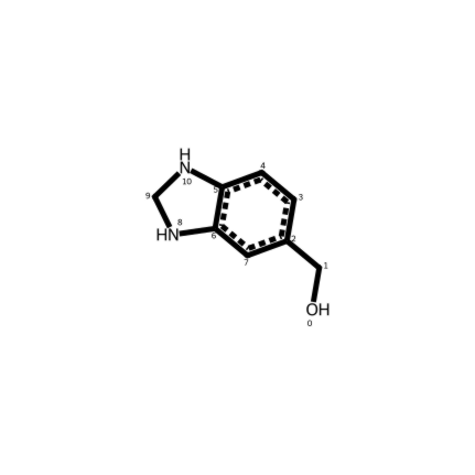 OCc1ccc2c(c1)N[CH]N2